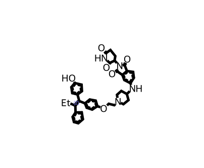 CC/C(=C(\c1ccc(O)cc1)c1ccc(OCCN2CCC(Nc3ccc4c(c3)C(=O)N(C3CCC(=O)NC3=O)C4=O)CC2)cc1)c1ccccc1